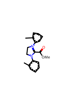 COC(=O)C1=[N+](c2ccccc2C)CCN1c1ccccc1C